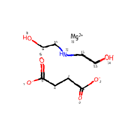 O=C([O-])CCC(=O)[O-].OCCNCCO.[Mg+2]